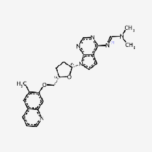 Cc1cc2cccnc2cc1OC[C@@H]1CC[C@H](n2ccc3c(/N=C/N(C)C)ncnc32)O1